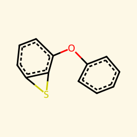 c1ccc(Oc2cccc3c2S3)cc1